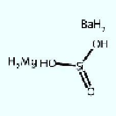 O=[Si](O)O.[BaH2].[MgH2]